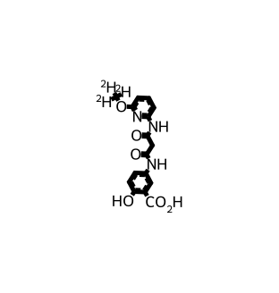 [2H]C([2H])([2H])Oc1cccc(NC(=O)CC(=O)Nc2ccc(O)c(C(=O)O)c2)n1